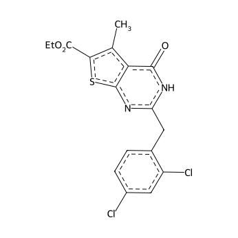 CCOC(=O)c1sc2nc(Cc3ccc(Cl)cc3Cl)[nH]c(=O)c2c1C